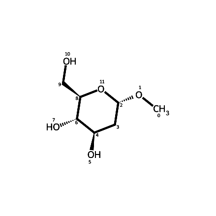 CO[C@@H]1C[C@@H](O)[C@H](O)[C@@H](CO)O1